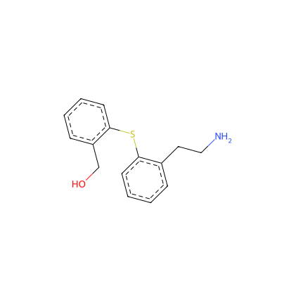 NCCc1ccccc1Sc1ccccc1CO